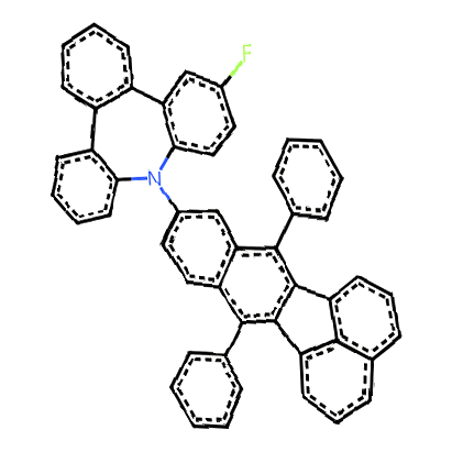 Fc1ccc2c(c1)-c1ccccc1-c1ccccc1N2c1ccc2c(-c3ccccc3)c3c(c(-c4ccccc4)c2c1)-c1cccc2cccc-3c12